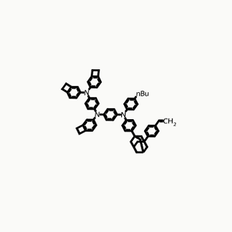 C=Cc1ccc(C23CC4CC(C2)CC(c2ccc(N(c5ccc(CCCC)cc5)c5ccc(N(c6ccc(N(c7ccc8c(c7)CC8)c7ccc8c(c7)CC8)cc6)c6ccc7c(c6)CC7)cc5)cc2)(C4)C3)cc1